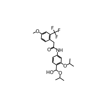 COc1ccc(CC(=O)Nc2ccc(C(O)OC(C)C)c(OC(C)C)c2)c(C(F)(F)F)c1